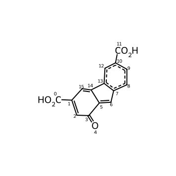 O=C(O)C1=CC(=O)C2=Cc3ccc(C(=O)O)cc3C2=C1